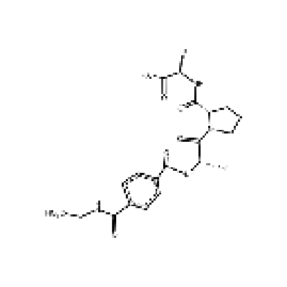 CC(C)[C@H](NC(=O)c1ccc(C(=O)NCC(=O)O)cc1)C(=O)N1CCC[C@H]1C(=O)N[C@@H](C(=O)C(F)(F)F)C(C)C